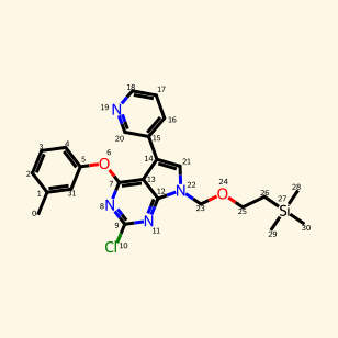 Cc1cccc(Oc2nc(Cl)nc3c2c(-c2cccnc2)cn3COCC[Si](C)(C)C)c1